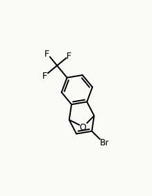 FC(F)(F)c1ccc2c(c1)C1C=C(Br)C2O1